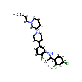 CC(Nc1cc(C2CCN([C@@H]3CCCN(CCC(=O)O)C3)CC2)ccc1Cl)c1ccc(Cl)cc1Cl